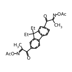 CCC1(CC)c2cc(C(=O)/C(C)=N/OC(C)=O)ccc2-c2ccc(C(=O)/C(C)=N/OC(C)=O)cc21